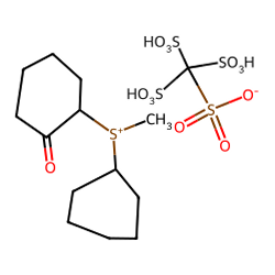 C[S+](C1CCCCC1)C1CCCCC1=O.O=S(=O)([O-])C(S(=O)(=O)O)(S(=O)(=O)O)S(=O)(=O)O